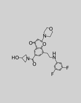 O=C(c1cc(CCNc2cc(F)cc(F)c2)c2oc(N3CCOCC3)cc(=O)c2c1)N1CC(O)C1